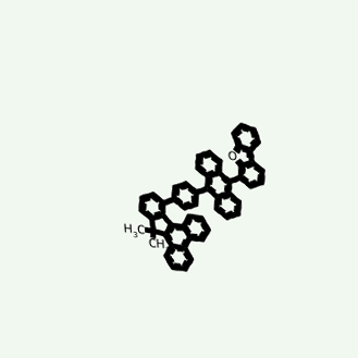 CC1(C)c2cccc(-c3ccc(-c4c5ccccc5c(-c5cccc6c5oc5ccccc56)c5ccccc45)cc3)c2-c2c1c1ccccc1c1ccccc21